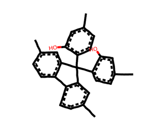 Cc1ccc(C2(c3ccc(C)cc3O)c3cc(C)ccc3-c3ccc(C)cc32)c(O)c1